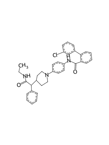 CCNC(=O)C(c1ccccc1)C1CCN(c2ccc(NC(=O)c3ccccc3-c3cccc(Cl)c3)cc2)CC1